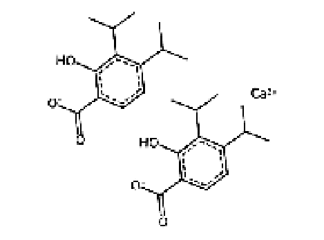 CC(C)c1ccc(C(=O)[O-])c(O)c1C(C)C.CC(C)c1ccc(C(=O)[O-])c(O)c1C(C)C.[Ca+2]